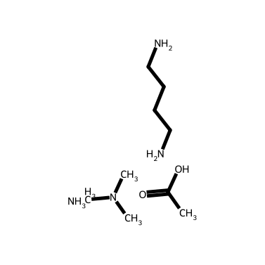 CC(=O)O.CN(C)C.N.NCCCCN